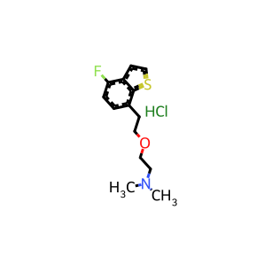 CN(C)CCOCCc1ccc(F)c2ccsc12.Cl